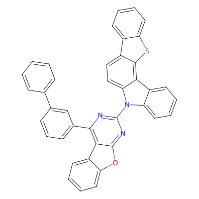 c1ccc(-c2cccc(-c3nc(-n4c5ccccc5c5c6sc7ccccc7c6ccc54)nc4oc5ccccc5c34)c2)cc1